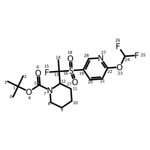 CC(C)(C)OC(=O)N1CCCCC1C(C)(F)S(=O)(=O)c1ccc(OC(F)F)nc1